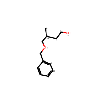 C[C@@H](CCO)COCc1ccccc1